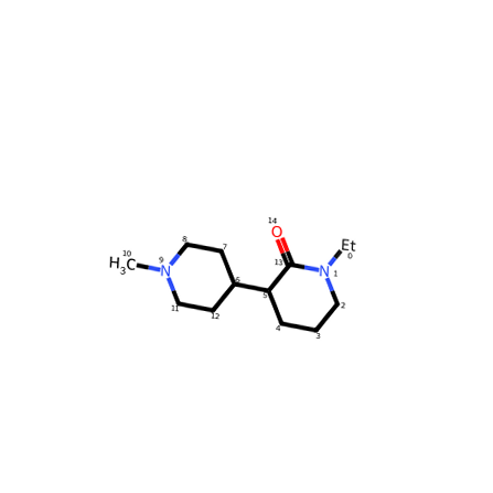 CCN1CCCC(C2CCN(C)CC2)C1=O